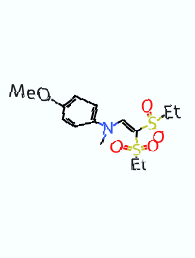 CCS(=O)(=O)C(=CN(C)c1ccc(OC)cc1)S(=O)(=O)CC